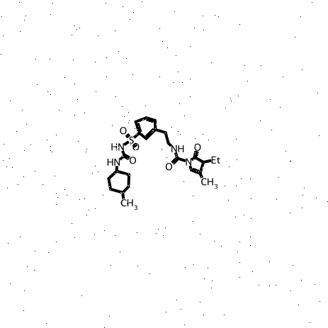 CCC1C(=O)N(C(=O)NCCc2cccc(S(=O)(=O)NC(=O)NC3CCC(C)CC3)c2)C=C1C